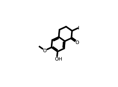 COc1cc2c(cc1O)C(=O)C(I)CC2